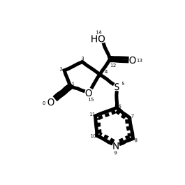 O=C1CCC(Sc2ccncc2)(C(=O)O)O1